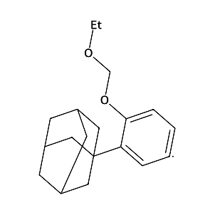 CCOCOc1cc[c]cc1C12CC3CC(CC(C3)C1)C2